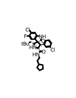 CC(C)(C)C[C@H]1N[C@@H](C(=O)NCCC2CCCC2)[C@H](c2cccc(Cl)c2)[C@@]12C(=O)Nc1cc(Cl)c(F)cc12